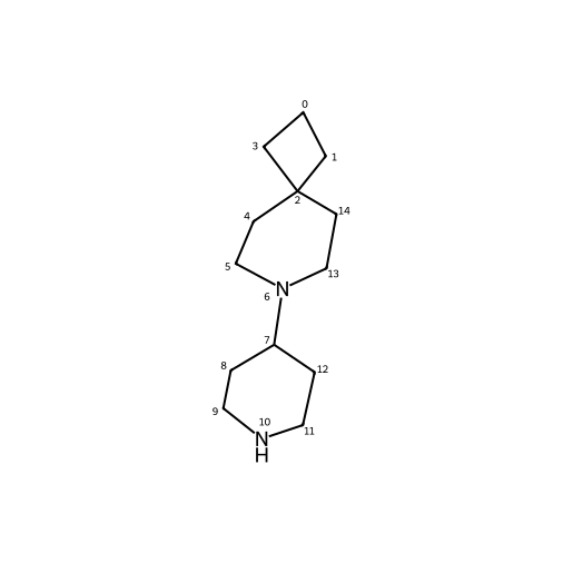 C1CC2(C1)CCN(C1CCNCC1)CC2